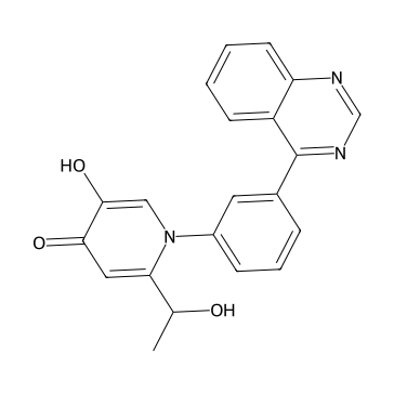 CC(O)c1cc(=O)c(O)cn1-c1cccc(-c2ncnc3ccccc23)c1